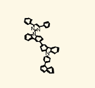 c1ccc(-c2cc(-c3ccccc3)nc(-n3c4ccccc4c4cc(-c5ccc6c(c5)c5ccccc5n6-c5ccc(-c6cccc7ccccc67)cc5)ccc43)n2)cc1